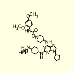 COc1ccc(NC(=O)ON2CCC(Nc3nc(N[C@H]4CC[C@H](N)CC4)nc4c3ncn4C3CCCC3)CC2)c(OC)c1.Cl.Cl